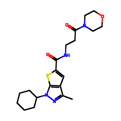 Cc1nn(C2CCCCC2)c2sc(C(=O)NCCC(=O)N3CCOCC3)cc12